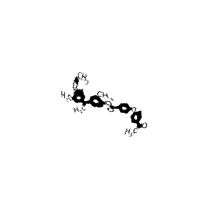 COc1ccc(C(C)c2ccc(OC(=O)c3ccc(Oc4ccc(C(C)=O)cc4)cc3)c(C)c2)cc1C